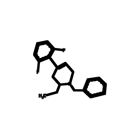 CCC1CC(c2c(F)cccc2F)=CCN1Cc1ccccc1